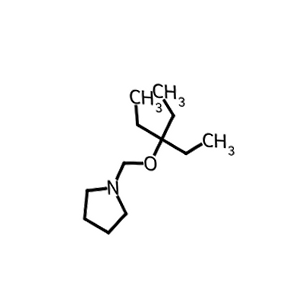 CCC(CC)(CC)OCN1CCCC1